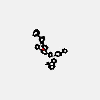 CC1(C)c2ccccc2-c2ccc(N(C3=CC=C(c4ccccc4)CC3)c3ccc(-c4ccc(-c5ccccc5-n5c6ccccc6c6ccc(-c7ccccc7)cc65)cc4)cc3)cc21